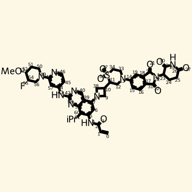 C=CC(=O)Nc1cc(N2CC(C3CN(c4ccc5c(c4)C(=O)N(C4CCC(=O)NC4=O)C5=O)CCS3(=O)=O)C2)c2cnc(Nc3ccnc(N4CC[C@@H](OC)[C@@H](F)C4)c3)nc2c1C(C)C